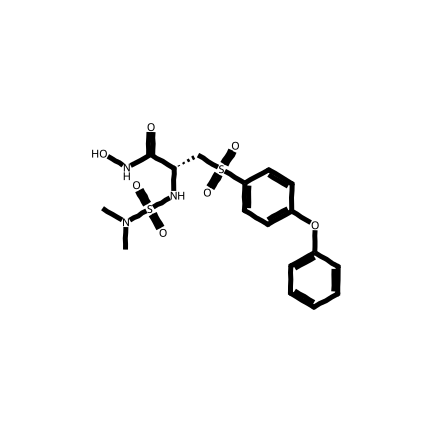 CN(C)S(=O)(=O)N[C@@H](CS(=O)(=O)c1ccc(Oc2ccccc2)cc1)C(=O)NO